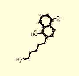 CCCCCCc1ccc2c(O)cccc2c1O